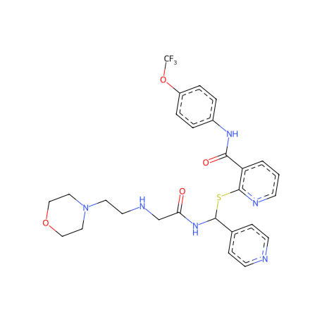 O=C(CNCCN1CCOCC1)NC(Sc1ncccc1C(=O)Nc1ccc(OC(F)(F)F)cc1)c1ccncc1